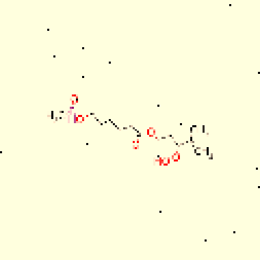 C=C(C)C(CCOC(=O)CCCCCO[PH](C)=O)OO